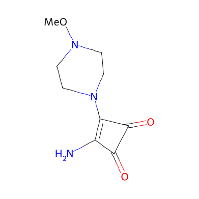 CON1CCN(c2c(N)c(=O)c2=O)CC1